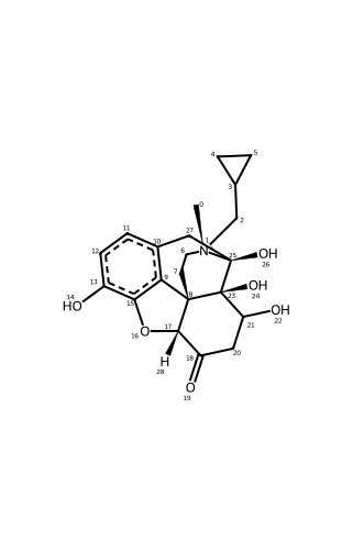 C[N@+]1(CC2CC2)CC[C@]23c4c5ccc(O)c4O[C@H]2C(=O)CC(O)[C@@]3(O)[C@@]1(O)C5